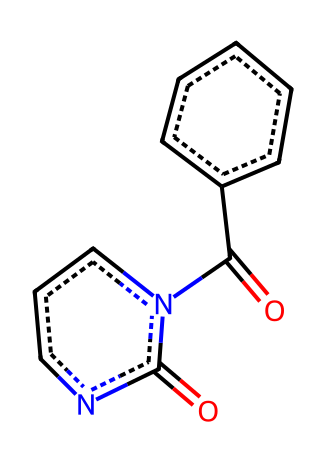 O=C(c1ccccc1)n1cccnc1=O